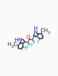 Cc1ccc(F)c2c(C(CF)C(=O)C(CF)c3c[nH]c4c(C)ccc(F)c34)c[nH]c12